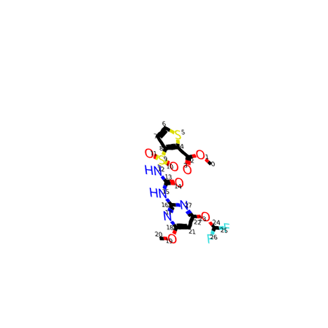 COC(=O)c1sccc1S(=O)(=O)NC(=O)Nc1nc(OC)cc(OC(F)F)n1